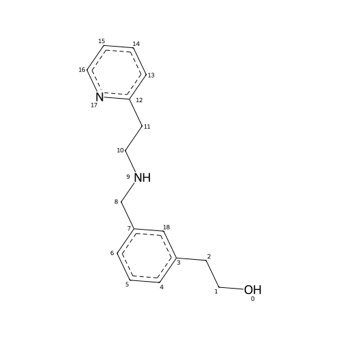 OCCc1cccc(CNCCc2ccccn2)c1